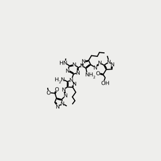 CCCCc1nn(-c2nc(NC)nc(-n3nc(CCCC)c(/N=N/c4c(C(=O)OC)cnn4C)c3N)n2)c(N)c1/N=N/c1c(C(=O)CO)cnn1C